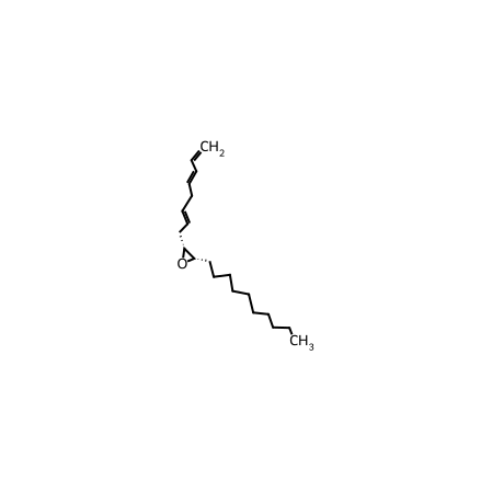 C=CC=CCC=CC[C@H]1O[C@H]1CCCCCCCCCC